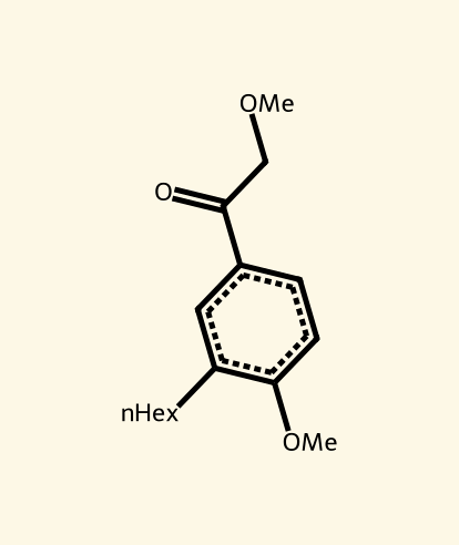 CCCCCCc1cc(C(=O)COC)ccc1OC